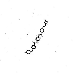 Cc1cc(CCN2CCN(C(=O)Oc3ccc(NC(=O)c4ccc(CN5CCC(C)CC5)cc4)cn3)CC2)on1